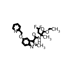 CCOC(=O)C(C)(CC(F)F)NC(=O)c1c2cc(OCc3ccccn3)ccc2nn1C